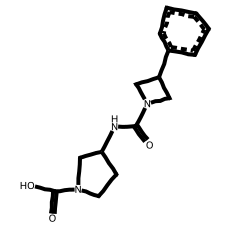 O=C(O)N1CCC(NC(=O)N2CC(c3ccccc3)C2)C1